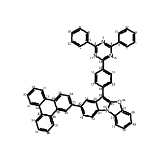 c1ccc(-c2nc(-c3ccccc3)nc(-c3ccc(-c4c5cc(-c6ccc7c8ccccc8c8ccccc8c7c6)ccc5n5c4oc4ccccc45)cc3)n2)cc1